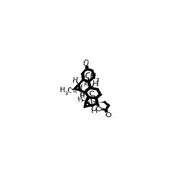 C[C@H]1[C@H]2C3=CC(=O)CC[C@]3(C)[C@H]3CC[C@@]4(C)[C@@H]([C@@H]5C[C@@H]5[C@@]45CCC(=O)O5)[C@@H]3[C@@H]12